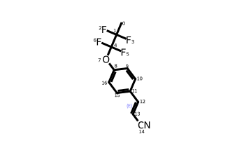 CC(F)(F)C(F)(F)Oc1ccc(/C=C/C#N)cc1